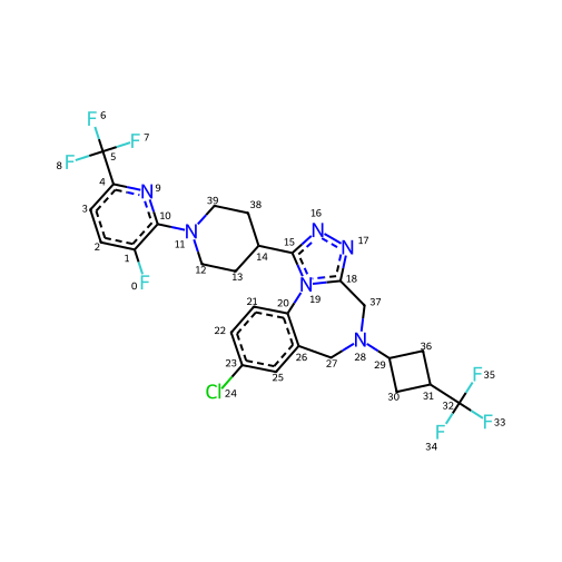 Fc1ccc(C(F)(F)F)nc1N1CCC(c2nnc3n2-c2ccc(Cl)cc2CN(C2CC(C(F)(F)F)C2)C3)CC1